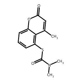 Cc1cc(=O)oc2cccc(SC(=O)N(C)C)c12